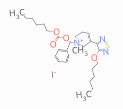 CCCCCCOC(=O)OC(c1ccccc1)[N+]1(C)CCC=C(c2nsnc2OCCCCCC)C1.[I-]